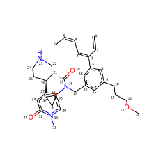 C=C/C(=C\C=C/C)c1cc(CCCOC)cc(CN(C(=O)[C@H]2CNCC[C@@H]2c2ccn(C)c(=O)c2)C2CC2)c1